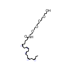 CC/C=C\C/C=C\C/C=C\C/C=C\C/C=C\CCCC(=O)NCCOCCOCCOCCOCCO